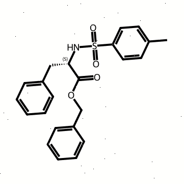 Cc1ccc(S(=O)(=O)N[C@@H](Cc2ccccc2)C(=O)OCc2ccccc2)cc1